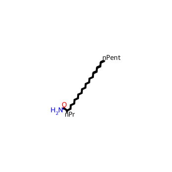 CCCCCC=CC=CC=CCCCCCCCCCCCCCC(CCC)C(N)=O